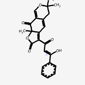 CC1(C)CC2=CC3=C(C(=O)/C=C(\O)c4ccccc4)C(=O)OC3(C)C(=O)C2=CO1